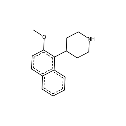 COc1ccc2ccccc2c1C1CCNCC1